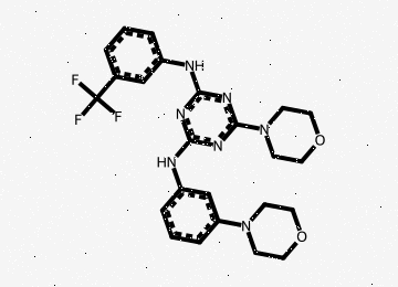 FC(F)(F)c1cccc(Nc2nc(Nc3cccc(N4CCOCC4)c3)nc(N3CCOCC3)n2)c1